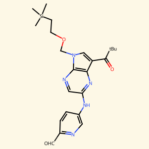 CC(C)(C)C(=O)c1cn(COCC[Si](C)(C)C)c2ncc(Nc3ccc(C=O)nc3)nc12